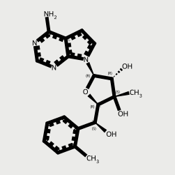 Cc1ccccc1[C@H](O)[C@H]1O[C@@H](n2ccc3c(N)ncnc32)[C@H](O)[C@]1(C)O